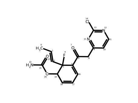 CC=CC1(F)C(C(=O)Cc2ccnc(Cl)n2)=CC=CC1OC(N)=O